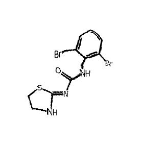 O=C(N=C1NCCS1)Nc1c(Br)cccc1Br